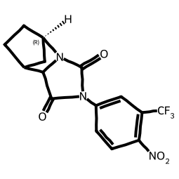 O=C1C2C3CC[C@H](C3)N2C(=O)N1c1ccc([N+](=O)[O-])c(C(F)(F)F)c1